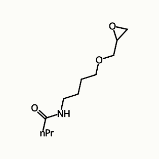 CCCC(=O)NCCCCOCC1CO1